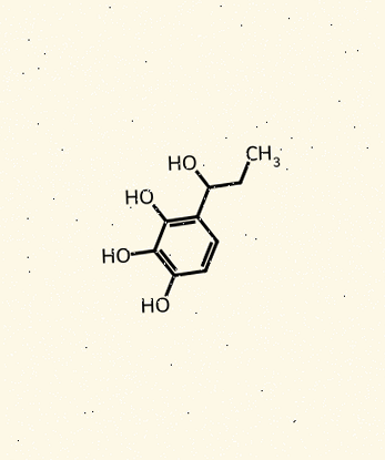 CCC(O)c1ccc(O)c(O)c1O